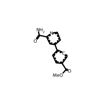 COC(=O)c1ccc(-c2ccnc(C(N)=O)c2)cc1